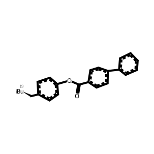 CC[C@H](C)Cc1ccc(OC(=O)c2ccc(-c3ccccc3)cc2)cc1